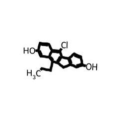 CCCc1c2c(c(Cl)c3ccc(O)cc13)-c1ccc(O)cc1C2